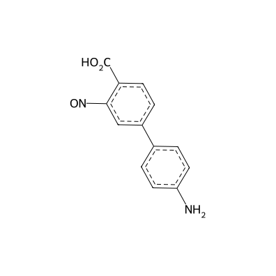 Nc1ccc(-c2ccc(C(=O)O)c(N=O)c2)cc1